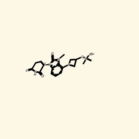 Cn1c(=O)n([C@@H]2CCC(=O)NC2=O)c2cccc(N3CC(O[Si](C)(C)C(C)(C)C)C3)c21